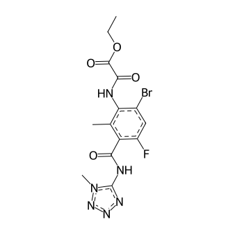 CCOC(=O)C(=O)Nc1c(Br)cc(F)c(C(=O)Nc2nnnn2C)c1C